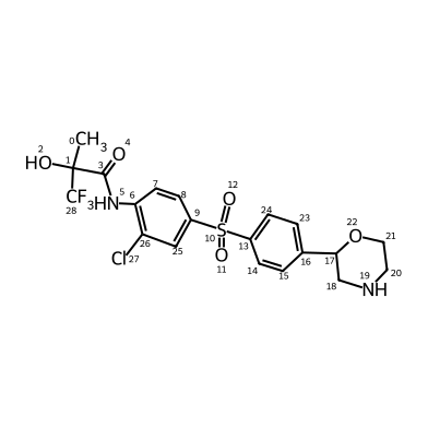 CC(O)(C(=O)Nc1ccc(S(=O)(=O)c2ccc(C3CNCCO3)cc2)cc1Cl)C(F)(F)F